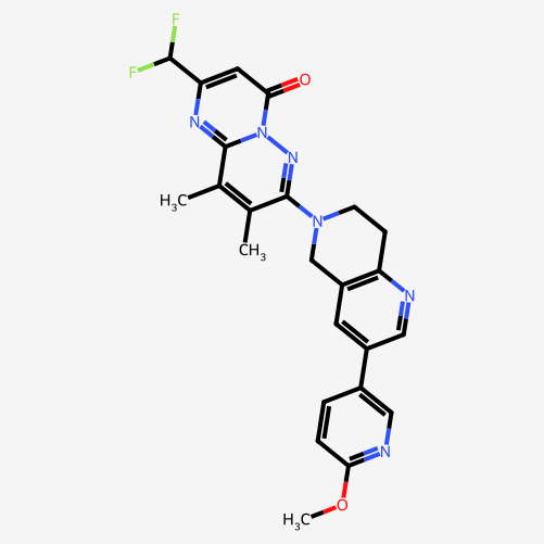 COc1ccc(-c2cnc3c(c2)CN(c2nn4c(=O)cc(C(F)F)nc4c(C)c2C)CC3)cn1